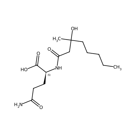 CCCCCC(C)(O)CC(=O)N[C@@H](CCC(N)=O)C(=O)O